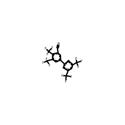 N#Cc1cc(-c2cc(C(F)(F)F)cc(C(F)(F)F)c2)cc(C(F)(F)F)c1C(F)(F)F